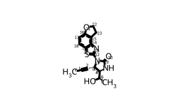 CC#C[C@H]1[C@H]([C@@H](C)O)NC(=O)N1c1nc2c3c(ccc2s1)OCC3